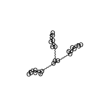 COc1cc(C(=O)Oc2ccc3ccc(=O)oc3c2)ccc1OCCCCCCCCCCOCC(COCCCCCCCCCCOc1ccc(C(=O)Oc2ccc3ccc(=O)oc3c2)cc1OC)OCCCCCCCCCCOc1ccc(C(=O)Oc2ccc3ccc(=O)oc3c2)cc1OC